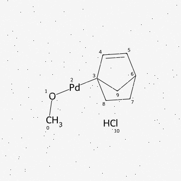 C[O][Pd][C]12C=CC(CC1)C2.Cl